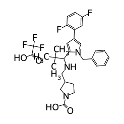 CC(C)(C)C(NCC1CCN(C(=O)O)C1)c1cc(-c2cc(F)ccc2F)cn1Cc1ccccc1.O=C(O)C(F)(F)F